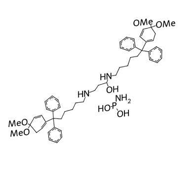 COC1(OC)C=CC(C(CCCCCNCCC(O)NCCCCCC(C2=CCC(OC)(OC)C=C2)(c2ccccc2)c2ccccc2)(c2ccccc2)c2ccccc2)=CC1.NP(O)O